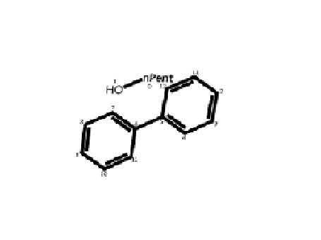 CCCCCO.c1ccc(-c2ccccc2)cc1